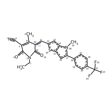 CCN1C(=O)C(C#N)=C(C)/C(=C/c2cc3c(cc(-c4ccc(C(F)(F)F)cc4)n3C)s2)C1=O